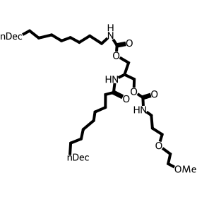 CCCCCCCCCCCCCCCCCCNC(=O)OCC(COC(=O)NCCCOCCOC)NC(=O)CCCCCCCCCCCCCCCCC